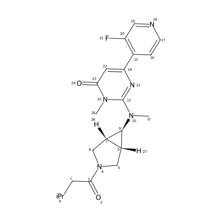 CC(C)CC(=O)N1C[C@@H]2[C@H](C1)[C@H]2N(C)c1nc(-c2ccncc2F)cc(=O)n1C